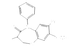 CCC1CSc2cc(OC)c(Br)cc2N(c2ccccc2)C1=O